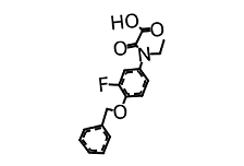 CCN(C(=O)C(=O)O)c1ccc(OCc2ccccc2)c(F)c1